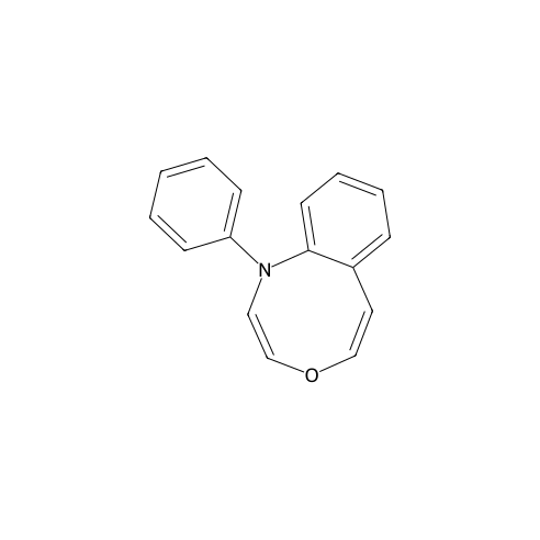 c1ccc(-n2ccoccc3ccccc32)cc1